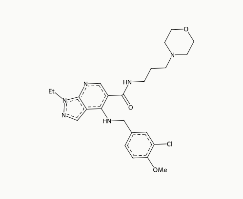 CCn1ncc2c(NCc3ccc(OC)c(Cl)c3)c(C(=O)NCCCN3CCOCC3)cnc21